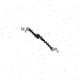 CCCCCCCCCCCCCCc1cc[n+](CCCCCCCCC)cc1